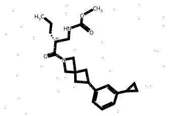 CCC[C@H](CNC(=O)OC)C(=O)N1CC2(CC(c3cccc(C4CC4)c3)C2)C1